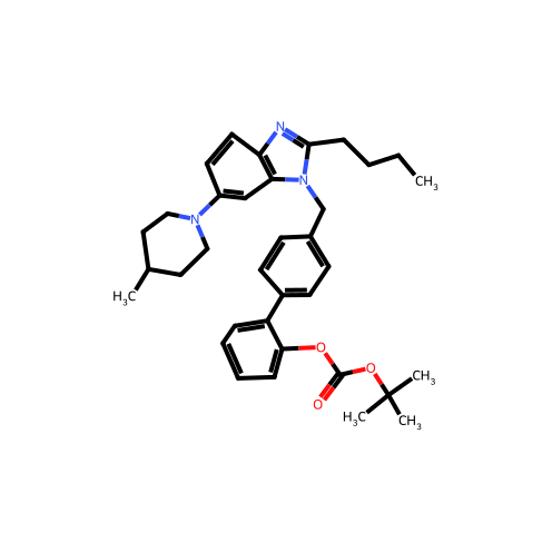 CCCCc1nc2ccc(N3CCC(C)CC3)cc2n1Cc1ccc(-c2ccccc2OC(=O)OC(C)(C)C)cc1